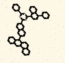 c1ccc(-c2nc(-c3ccc4cc(-c5c6ccccc6cc6c5ccc5ccccc56)ccc4c3)nc(-c3ccc(-c4ccccc4)c4ccccc34)n2)cc1